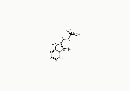 O=C(O)CCc1[nH]c2ccccc2c1I